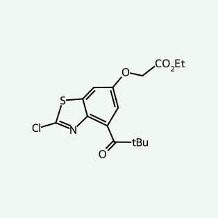 CCOC(=O)COc1cc(C(=O)C(C)(C)C)c2nc(Cl)sc2c1